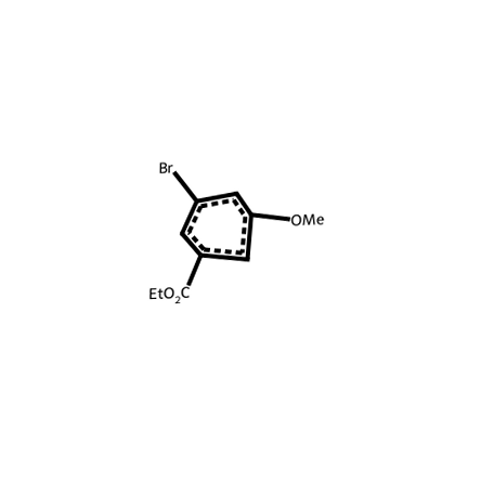 CCOC(=O)c1cc(Br)cc(OC)c1